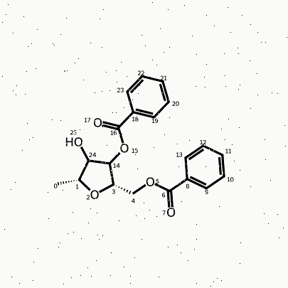 C[C@H]1O[C@@H](COC(=O)c2ccccc2)C(OC(=O)c2ccccc2)C1O